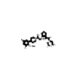 COc1c(F)cc(F)cc1C1CCN(C(=O)Cn2nc(C(=O)N3C[C@@H](C)O[C@@H](C)C3)c3c2CCC3)CC1